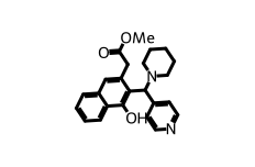 COC(=O)Cc1cc2ccccc2c(O)c1C(c1ccncc1)N1CCCCC1